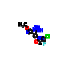 CCOc1ccc(-c2ccc(NC(=O)C3(c4ccc(Cl)cc4F)CC3)cc2-c2nnn[nH]2)cn1